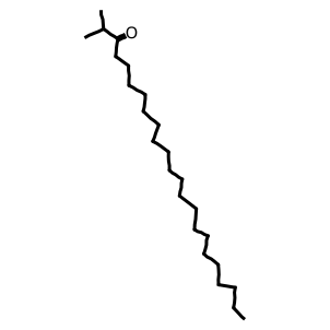 CCCCCCCCCCCCCCCCCCCCC(=O)C(C)C